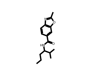 CCCC(NC(=O)c1ccc2nc(C)oc2c1)C(C)C